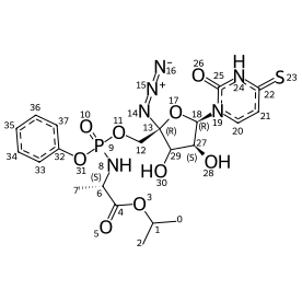 CC(C)OC(=O)[C@H](C)NP(=O)(OC[C@@]1(N=[N+]=[N-])O[C@@H](n2ccc(=S)[nH]c2=O)[C@@H](O)C1O)Oc1ccccc1